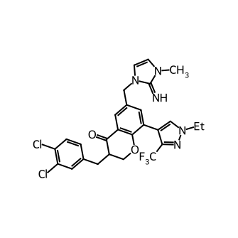 CCn1cc(-c2cc(Cn3ccn(C)c3=N)cc3c2OCC(Cc2ccc(Cl)c(Cl)c2)C3=O)c(C(F)(F)F)n1